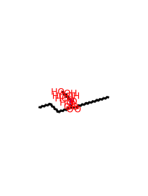 CCCCCCC=CCCCCC=CCCCCC(=O)OC[C@H](COP(=O)(O)OC[C@@H](O)[C@@H](O)[C@H](O)[C@H](O)CO)OC(=O)CCCC/C=C\CCCC/C=C\CCCCCC